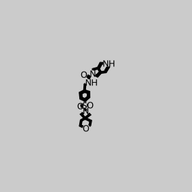 O=C(NCc1ccc(S(=O)(=O)N2CC3(CCOCC3)C2)cc1)N1C=C2C=CNC=C2C1